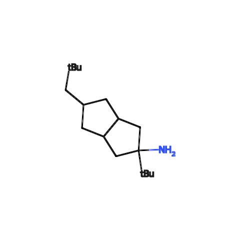 CC(C)(C)CC1CC2CC(N)(C(C)(C)C)CC2C1